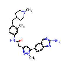 CN1CCC(Cc2ccc(NC(=O)Cc3cc(-c4ccc5nc(N)ncc5c4)n(C)n3)cc2C(F)(F)F)CC1